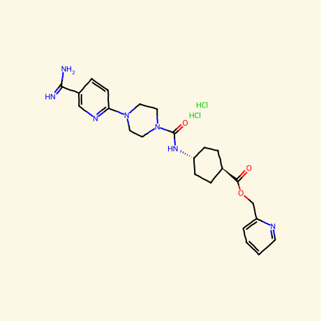 Cl.Cl.N=C(N)c1ccc(N2CCN(C(=O)N[C@H]3CC[C@H](C(=O)OCc4ccccn4)CC3)CC2)nc1